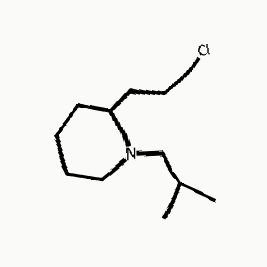 CC(C)CN1CCCCC1CCCl